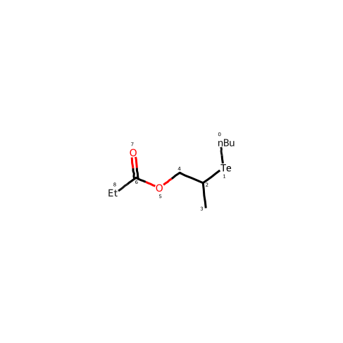 CCCC[Te]C(C)COC(=O)CC